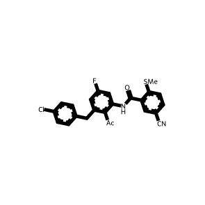 CSc1ccc(C#N)cc1C(=O)Nc1cc(F)cc(Cc2ccc(Cl)cc2)c1C(C)=O